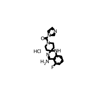 Cl.NC1=NC2(CCN(C(=O)n3ccnc3)CC2)Nc2cccc(F)c21